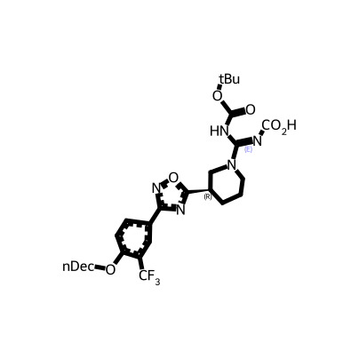 CCCCCCCCCCOc1ccc(-c2noc([C@@H]3CCCN(/C(=N/C(=O)O)NC(=O)OC(C)(C)C)C3)n2)cc1C(F)(F)F